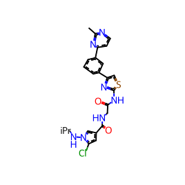 Cc1nccc(-c2cccc(-c3csc(NC(=O)CNC(=O)c4cc(Cl)n(NC(C)C)c4)n3)c2)n1